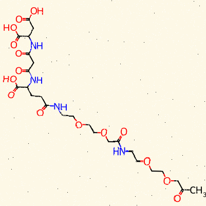 CC(=O)COCCOCCNC(=O)COCCOCCNC(=O)CCC(NC(=O)CC(=O)NC(CC(=O)O)C(=O)O)C(=O)O